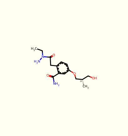 CCN(N)C(=O)Cc1ccc(OC[C@@H](C)CO)cc1C(N)=O